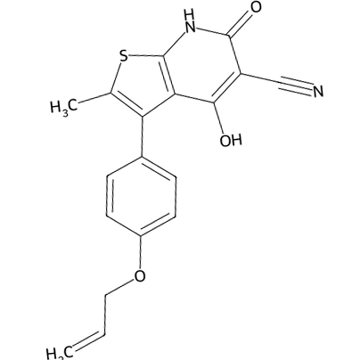 C=CCOc1ccc(-c2c(C)sc3[nH]c(=O)c(C#N)c(O)c23)cc1